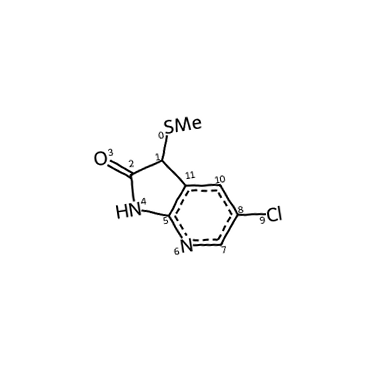 CSC1C(=O)Nc2ncc(Cl)cc21